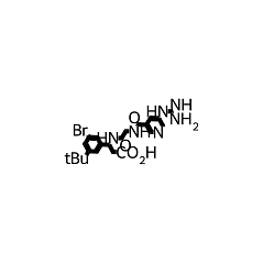 CC(C)(C)c1cc(Br)cc(C(CC(=O)O)NC(=O)CNC(=O)c2cncc(NC(=N)N)c2)c1